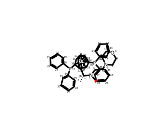 C[C@@H](N(C)CCN1CCOCC1)[C@]12[CH]3[CH]4[CH]5[C]1(P(c1ccccc1)c1ccccc1)[Fe]45321678[CH]2[CH]1[CH]6[C]7(P(c1ccccc1)c1ccccc1)[CH]28